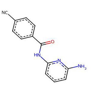 N#Cc1ccc(C(=O)Nc2cccc(N)n2)cc1